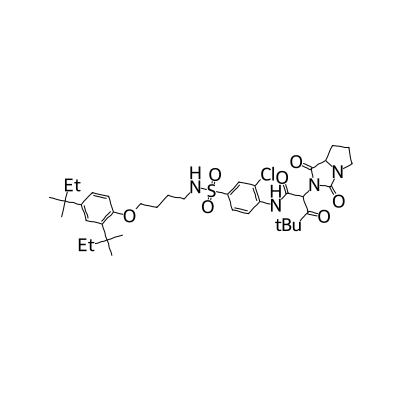 CCC(C)(C)c1ccc(OCCCCNS(=O)(=O)c2ccc(NC(=O)C(C(=O)C(C)(C)C)N3C(=O)C4CCCN4C3=O)c(Cl)c2)c(C(C)(C)CC)c1